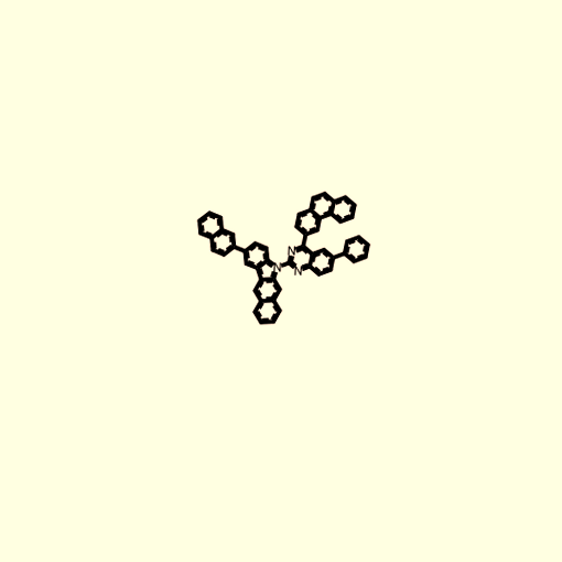 c1ccc(-c2ccc3nc(-n4c5ccc(-c6ccc7ccccc7c6)cc5c5cc6ccccc6cc54)nc(-c4ccc5ccc6ccccc6c5c4)c3c2)cc1